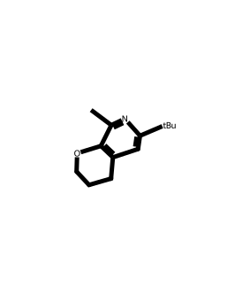 Cc1nc(C(C)(C)C)cc2c1OCCC2